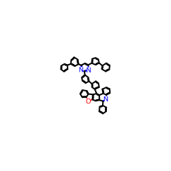 c1ccc(-c2cccc(-c3cc(-c4cccc(-c5ccccc5)c4)nc(-c4cccc(-c5cccc(-c6c7c(cc8c(-c9ccccc9)nc9ccccc9c68)oc6ccccc67)c5)c4)n3)c2)cc1